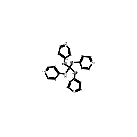 c1cc(NC(Nc2ccncc2)(Nc2ccncc2)Nc2ccncc2)ccn1